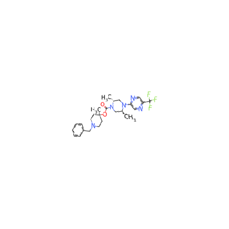 C[C@@H]1CN(c2cnc(C(F)(F)F)cn2)[C@@H](C)CN1C(=O)OC1(C)CCN(Cc2ccccc2)CC1